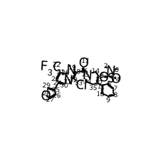 CN(C)S(=O)(=O)c1ccccc1C1=CCN(C(=O)c2nc3c(C(F)(F)F)cc(-c4ccoc4)cn3c2Cl)CC1